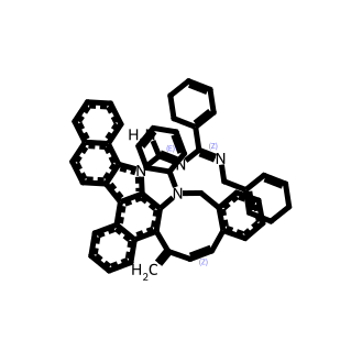 C=C1/C=C\c2ccccc2CN(C2C=CC=CC2)c2c1c1ccccc1c1c3ccc4ccccc4c3n(/C(N)=N/C(=N\CC3=CCCC=C3)C3=CC=CCC3)c21